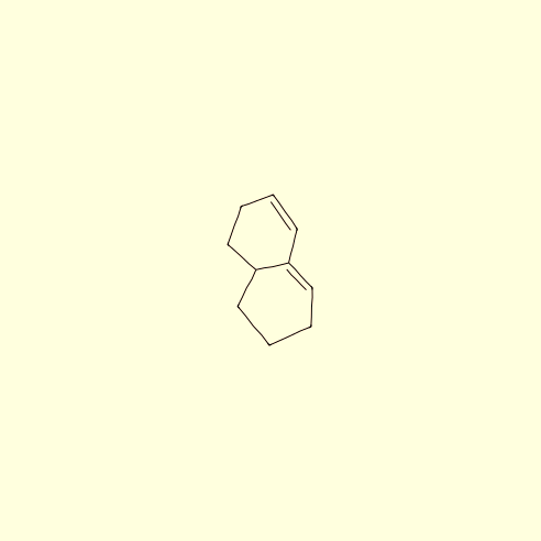 C1=CC2=CCCCC2CC1